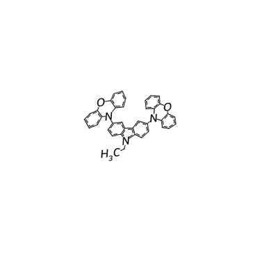 CCn1c2ccc(N3c4ccccc4Oc4ccccc43)cc2c2cc(N3c4ccccc4Oc4ccccc43)ccc21